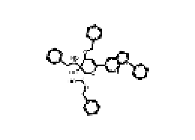 OC(OCc1ccccc1)[C@H]1OC(c2cnc3c(ccn3-c3ccccc3)c2)=C[C@](O)(OCc2ccccc2)[C@@]1(O)OCc1ccccc1